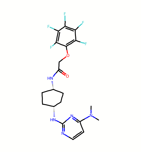 CN(C)c1ccnc(N[C@H]2CC[C@@H](NC(=O)COc3c(F)c(F)c(F)c(F)c3F)CC2)n1